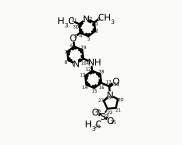 Cc1ccc(Oc2ccnc(Nc3cccc(C(=O)N4CC[C@@H](S(C)(=O)=O)C4)c3)c2)c(C)n1